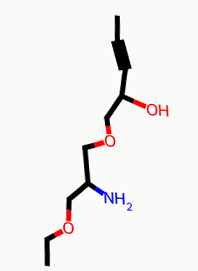 CC#CC(O)COCC(N)COCC